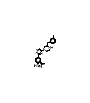 Cc1cccc(CC2CN(c3cnnc(-c4ccc5[nH]nc(C)c5c4)n3)CCN2)c1